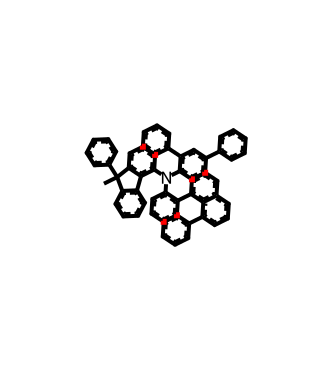 CC1(c2ccccc2)c2ccccc2-c2c(N(c3ccc(-c4ccccc4)cc3-c3ccccc3)c3ccccc3-c3cccc4cccc(-c5ccccc5)c34)cccc21